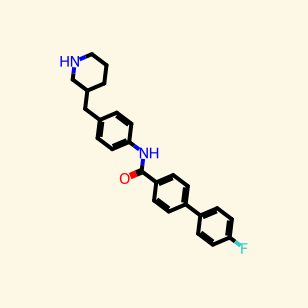 O=C(Nc1ccc(CC2CCCNC2)cc1)c1ccc(-c2ccc(F)cc2)cc1